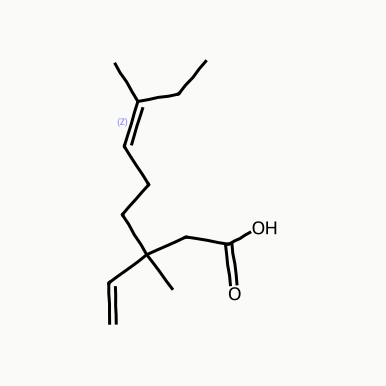 C=CC(C)(CC/C=C(/C)CC)CC(=O)O